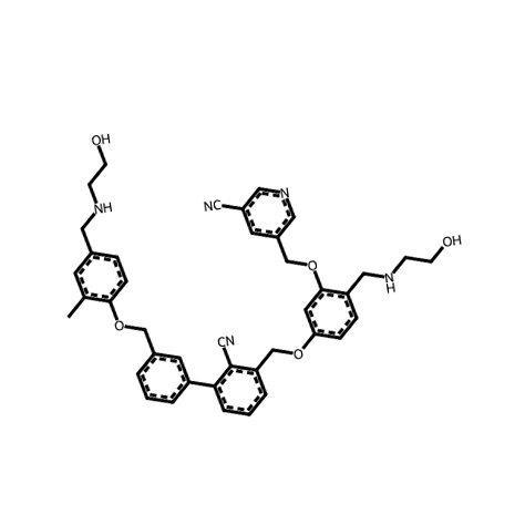 Cc1cc(CNCCO)ccc1OCc1cccc(-c2cccc(COc3ccc(CNCCO)c(OCc4cncc(C#N)c4)c3)c2C#N)c1